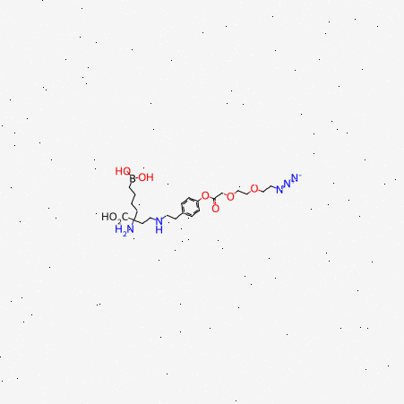 [N-]=[N+]=NCCOCCOCC(=O)Oc1ccc(CCNCCC(N)(CCCCB(O)O)C(=O)O)cc1